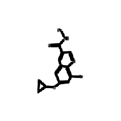 CC(C)NC(=O)c1cnc2c(Br)cc(OC3CC3)cc2c1